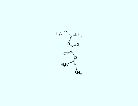 CCC(N)OC(=O)C(=O)OC(N)CC